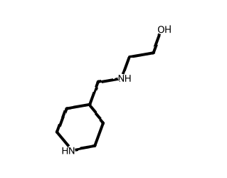 OCCNCC1CCNCC1